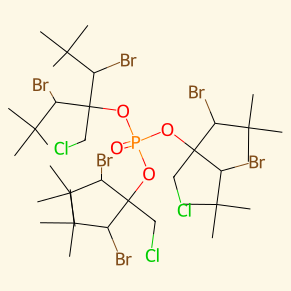 CC(C)(C)C(Br)C(CCl)(OP(=O)(OC(CCl)(C(Br)C(C)(C)C)C(Br)C(C)(C)C)OC(CCl)(C(Br)C(C)(C)C)C(Br)C(C)(C)C)C(Br)C(C)(C)C